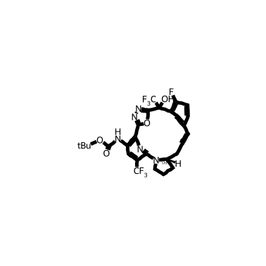 CC(C)(C)OC(=O)Nc1cc(C(F)(F)F)c2nc1-c1nnc(o1)C(O)(C(F)(F)F)c1cc(ccc1F)C=CC[C@@H]1CCCN21